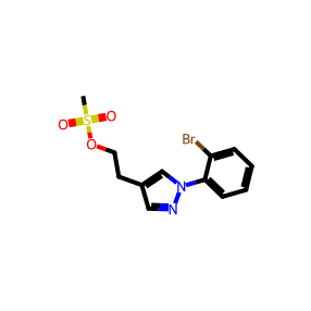 CS(=O)(=O)OCCc1cnn(-c2ccccc2Br)c1